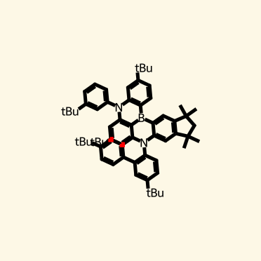 CC(C)(C)c1ccc(-c2cc(C(C)(C)C)ccc2N2c3cc4c(cc3B3c5ccc(C(C)(C)C)cc5N(c5cccc(C(C)(C)C)c5)c5cc(C(C)(C)C)cc2c53)C(C)(C)CC4(C)C)cc1